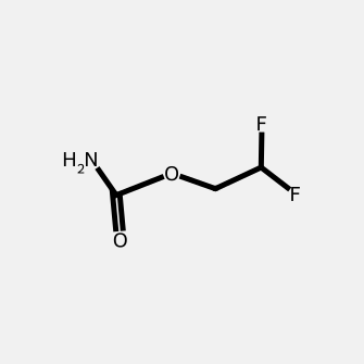 NC(=O)OCC(F)F